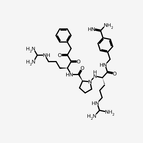 N=C(N)c1ccc(CNC(=O)[C@H](CCCNC(N)N)NN2CCC[C@H]2C(=O)N[C@@H](CCCNC(N)N)C(=O)C(=O)Cc2ccccc2)cc1